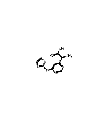 CC(C(=O)O)c1cccc(Sc2nccs2)c1